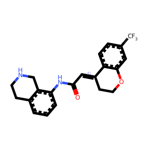 O=C(/C=C1\CCOc2cc(C(F)(F)F)ccc21)Nc1cccc2c1CNCC2